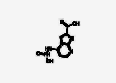 O=C(O)c1cn2c(N[PH](=O)O)ccnc2n1